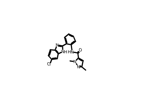 Cc1cc(C(=O)Nc2ccccc2-c2nc3ccc(Cl)cc3[nH]2)n(C)n1